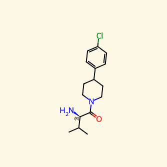 CC(C)[C@@H](N)C(=O)N1CCC(c2ccc(Cl)cc2)CC1